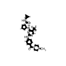 CN1CCN(C(=O)c2ccc(Nc3ncc(C(F)(F)F)c(N[C@@H]4CCC[C@@H]4C(=O)NC4CC4)n3)cc2)CC1